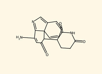 NC1=CC(=O)C(C2CCC(=O)NC2=O)C23C=CC=CC2=CN=C13